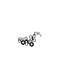 CCOC(=O)C(=O)Nc1ccccc1-c1cc(=O)c2cc(OC)ccc2o1